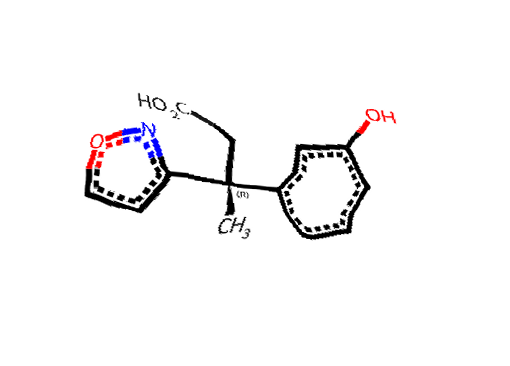 C[C@@](CC(=O)O)(c1cccc(O)c1)c1ccon1